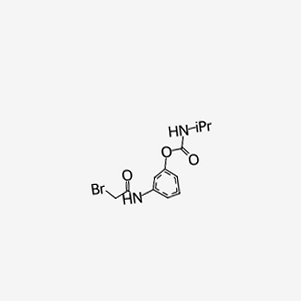 CC(C)NC(=O)Oc1cccc(NC(=O)CBr)c1